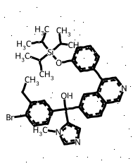 CCc1cc(C(O)(c2ccc3cncc(-c4cccc(O[Si](C(C)C)(C(C)C)C(C)C)c4)c3c2)c2cncn2C)ccc1Br